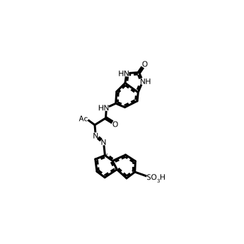 CC(=O)C(N=Nc1cccc2cc(S(=O)(=O)O)ccc12)C(=O)Nc1ccc2[nH]c(=O)[nH]c2c1